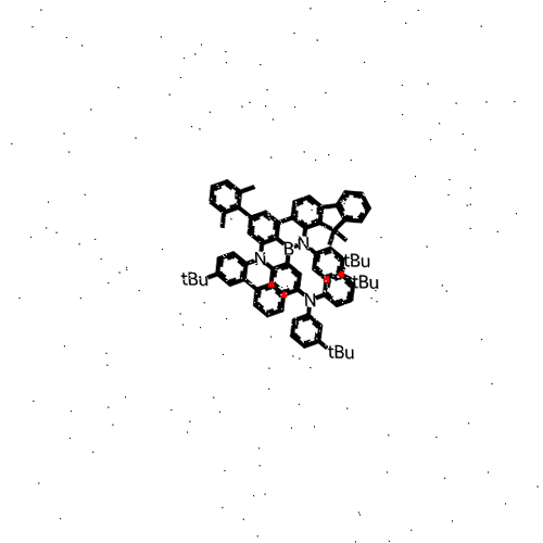 Cc1cccc(C)c1-c1cc2c3c(c1)N(c1ccc(C(C)(C)C)cc1-c1ccccc1)c1ccc(N(c4cccc(C(C)(C)C)c4)c4cccc(C(C)(C)C)c4)cc1B3N(c1ccc(C(C)(C)C)cc1)c1c-2ccc2c1C(C)(C)c1ccccc1-2